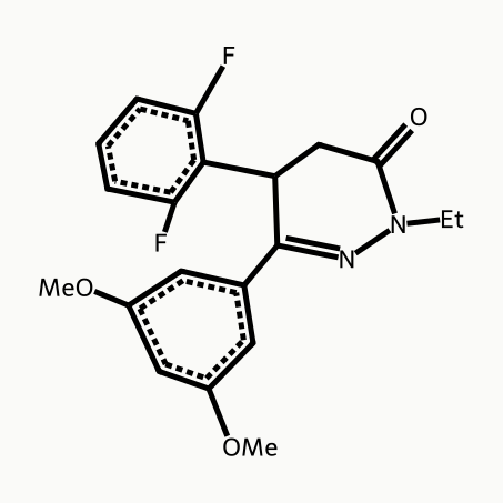 CCN1N=C(c2cc(OC)cc(OC)c2)C(c2c(F)cccc2F)CC1=O